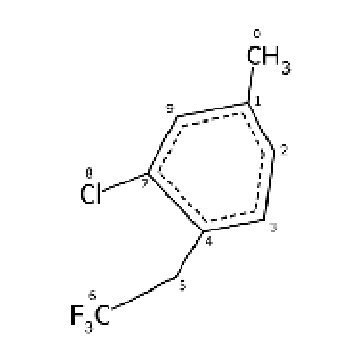 Cc1ccc(CC(F)(F)F)c(Cl)c1